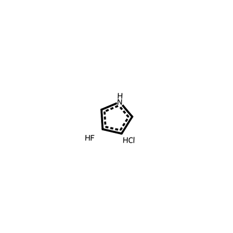 Cl.F.c1cc[nH]c1